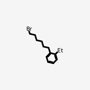 CCc1ccccc1CCCCCCBr